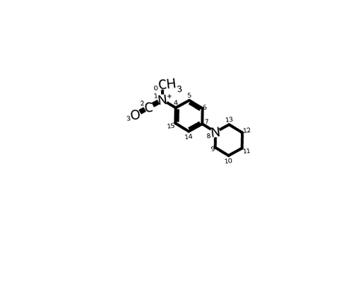 C[N+](=C=O)c1ccc(N2CCCCC2)cc1